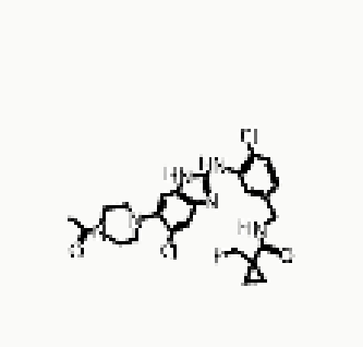 CC(=O)N1CCN(c2cc3[nH]c(Nc4cc(CNC(=O)C5(CF)CC5)ccc4Cl)nc3cc2Cl)CC1